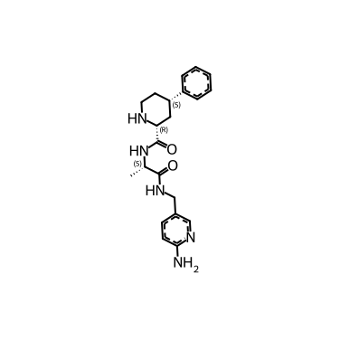 C[C@H](NC(=O)[C@H]1C[C@@H](c2ccccc2)CCN1)C(=O)NCc1ccc(N)nc1